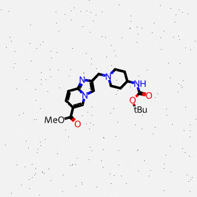 COC(=O)c1ccc2nc(CN3CCC(NC(=O)OC(C)(C)C)CC3)cn2c1